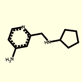 Nc1ccnc(CNC2CCCC2)c1